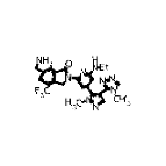 CCNc1cc(-c2c(-c3nncn3C)cnn2C)cc(N2Cc3c(cc(CN)cc3C(F)(F)F)C2=O)n1